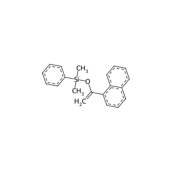 C=C(O[Si](C)(C)c1ccccc1)c1cccc2ccccc12